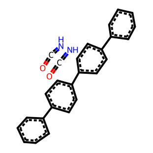 N=C=O.N=C=O.c1ccc(-c2ccc(-c3ccc(-c4ccccc4)cc3)cc2)cc1